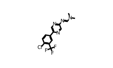 CN(C)C=Nc1cnc(-c2ccc(Cl)c(C(F)(F)F)c2)cn1